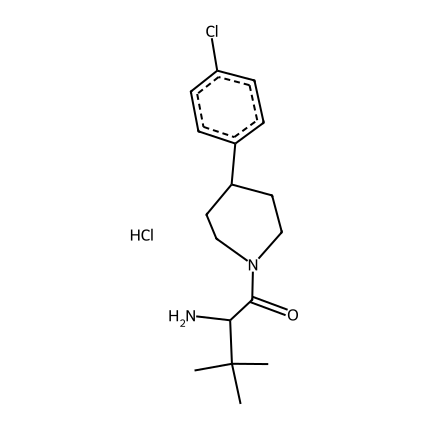 CC(C)(C)C(N)C(=O)N1CCC(c2ccc(Cl)cc2)CC1.Cl